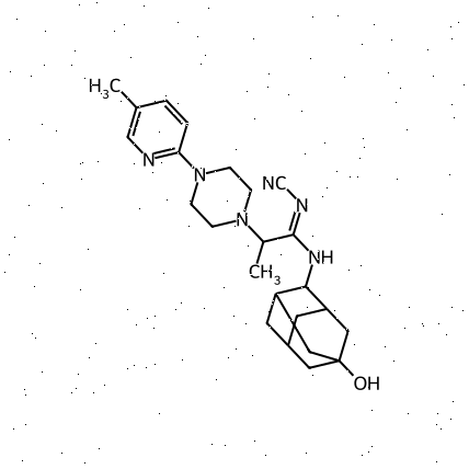 Cc1ccc(N2CCN(C(C)/C(=N\C#N)NC3C4CC5CC3CC(O)(C5)C4)CC2)nc1